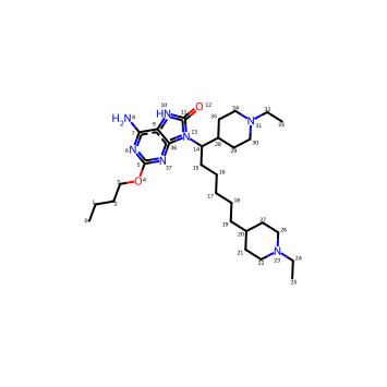 CCCCOc1nc(N)c2[nH]c(=O)n(C(CCCCCC3CCN(CC)CC3)C3CCN(CC)CC3)c2n1